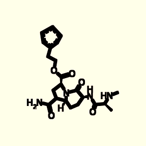 CN[C@@H](C)C(=O)N[C@H]1CC[C@H]2C(C(N)=O)C[C@@H](C(=O)OCCc3ccccc3)N2C1=O